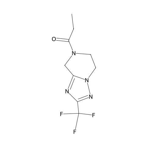 CCC(=O)N1CCn2nc(C(F)(F)F)nc2C1